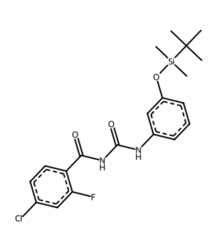 CC(C)(C)[Si](C)(C)Oc1cccc(NC(=O)NC(=O)c2ccc(Cl)cc2F)c1